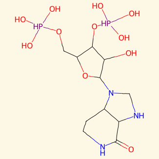 O=C1NCCC2C1NCN2C1OC(CO[PH](O)(O)O)C(O[PH](O)(O)O)C1O